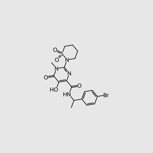 CC(NC(=O)c1nc(N2CCCCS2(=O)=O)n(C)c(=O)c1O)c1ccc(Br)cc1